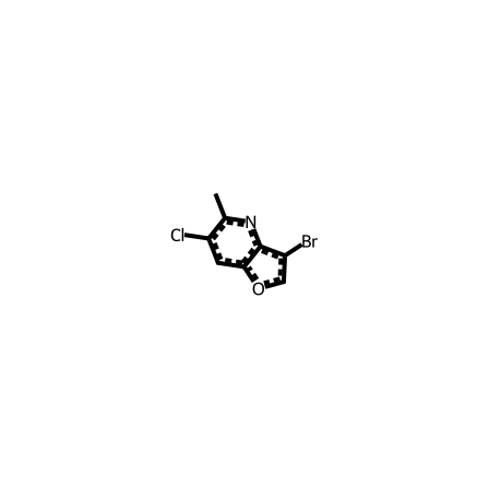 Cc1nc2c(Br)coc2cc1Cl